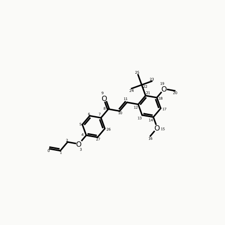 C=CCOc1ccc(C(=O)C=Cc2cc(OC)cc(OC)c2C(C)(C)C)cc1